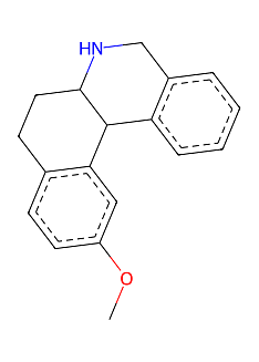 COc1ccc2c(c1)C1c3ccccc3CNC1CC2